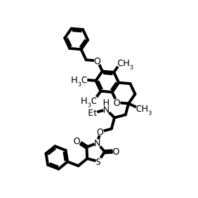 CCNC(CON1C(=O)SC(Cc2ccccc2)C1=O)CC1(C)CCc2c(C)c(OCc3ccccc3)c(C)c(C)c2O1